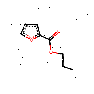 CCCOC(=O)c1[c]cco1